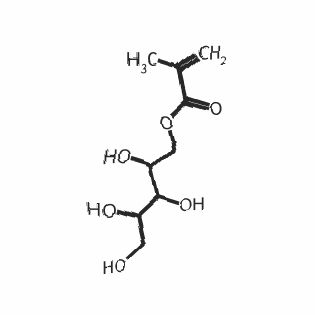 C=C(C)C(=O)OCC(O)C(O)C(O)CO